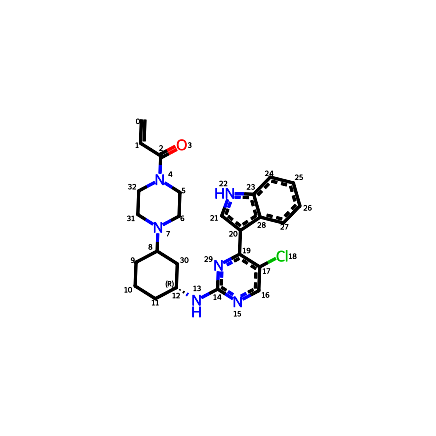 C=CC(=O)N1CCN(C2CCC[C@@H](Nc3ncc(Cl)c(-c4c[nH]c5ccccc45)n3)C2)CC1